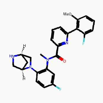 COc1cccc(F)c1-c1cccc(C(=O)N(C)c2cc(F)ccc2N2C[C@H]3C[C@@H]2CN3)n1